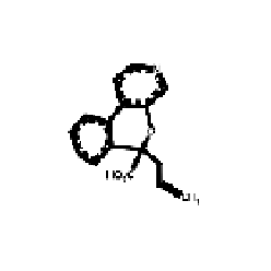 C=CCC1(C(=O)O)Oc2cnccc2-c2ccccc21